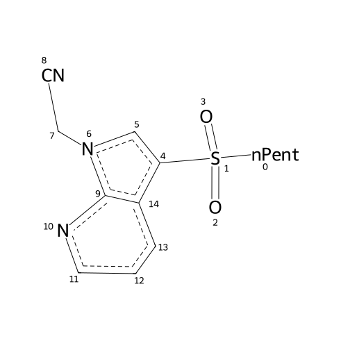 CCCCCS(=O)(=O)c1cn(CC#N)c2ncccc12